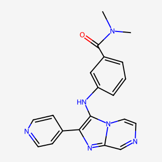 CN(C)C(=O)c1cccc(Nc2c(-c3ccncc3)nc3cnccn23)c1